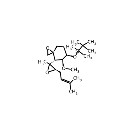 CO[C@H]1[C@H](C2(C)O[C@@H]2CC=C(C)C)[C@]2(CC[C@H]1O[Si](C)(C)C(C)(C)C)CO2